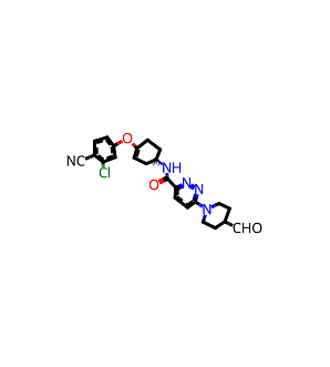 N#Cc1ccc(OC2=CC[C@H](NC(=O)c3ccc(N4CCC(C=O)CC4)nn3)CC2)cc1Cl